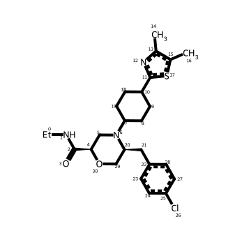 CCNC(=O)[C@H]1CN(C2CCC(c3nc(C)c(C)s3)CC2)[C@@H](Cc2ccc(Cl)cc2)CO1